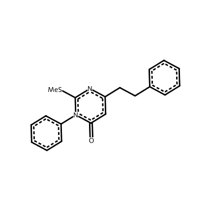 CSc1nc(CCc2ccccc2)cc(=O)n1-c1ccccc1